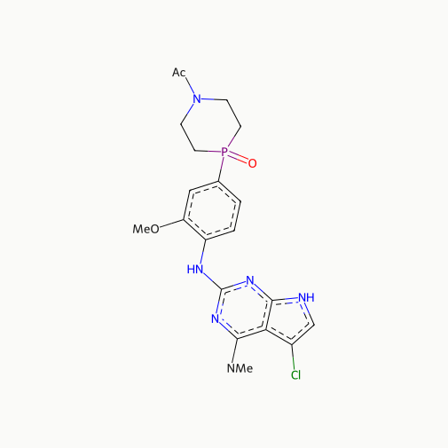 CNc1nc(Nc2ccc(P3(=O)CCN(C(C)=O)CC3)cc2OC)nc2[nH]cc(Cl)c12